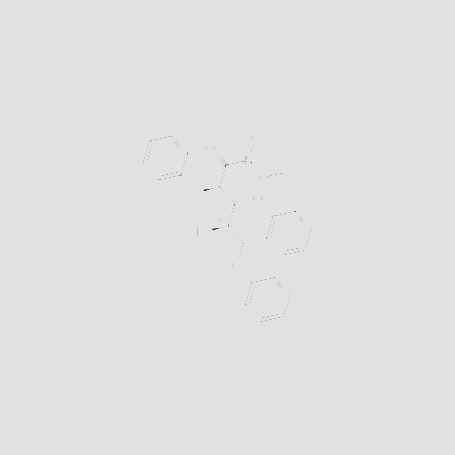 CON(C)C(=O)[C@H](Oc1ccccc1)[C@H](Oc1ccccc1)[C@H](O)COc1ccccc1